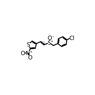 O=[N+]([O-])c1cc(/C=C/[S+]([O-])Cc2ccc(Cl)cc2)cs1